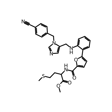 COC(=O)C(CCSC)NC(=O)c1ccc(-c2ccccc2NCc2cncn2Cc2ccc(C#N)cc2)o1